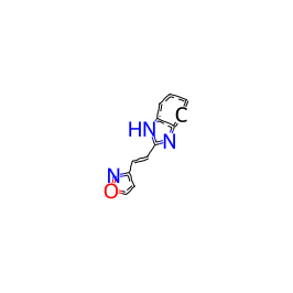 C(=Cc1nc2ccccc2[nH]1)c1ccon1